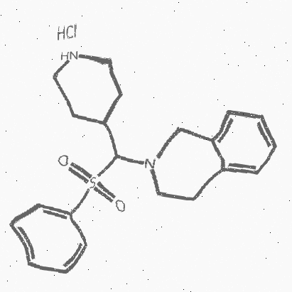 Cl.O=S(=O)(c1ccccc1)C(C1CCNCC1)N1CCc2ccccc2C1